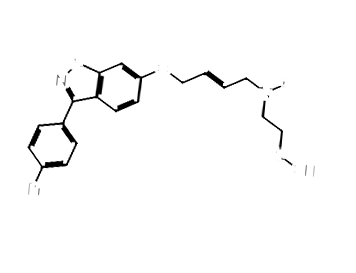 CSCCN(C)C/C=C/COc1ccc2c(-c3ccc(Br)cc3)nsc2c1